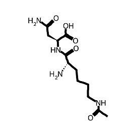 CC(=O)NCCCC[C@H](N)C(=O)N[C@@H](CC(N)=O)C(=O)O